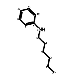 [CH2]CCCCCNc1ccccc1